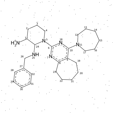 NC1CCCN(c2nc3c(c(N4CCCCCC4)n2)CCCCC3)C1NCc1ccccc1